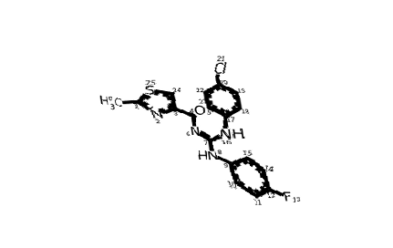 Cc1nc(C(=O)/N=C(/Nc2ccc(F)cc2)Nc2ccc(Cl)cc2)cs1